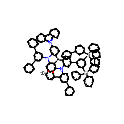 CC(C)(C)c1cc2c3c(c1)N(c1ccc(-c4ccccc4)cc1-c1ccccc1)c1cc(-c4cc([Si](c5ccccc5)(c5ccccc5)c5cccc(-c6ccccc6)c5)cc([Si](c5ccccc5)(c5ccccc5)c5cccc(-c6ccccc6)c5)c4)ccc1B3c1ccc(-n3c4ccccc4c4ccccc43)cc1N2c1cc(-c2ccccc2)cc(-c2ccccc2)c1